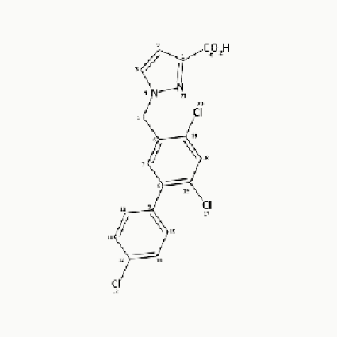 O=C(O)c1ccn(Cc2cc(-c3ccc(Cl)cc3)c(Cl)cc2Cl)n1